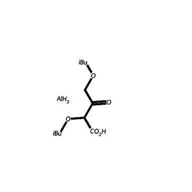 CCC(C)OCC(=O)C(OC(C)CC)C(=O)O.[AlH3]